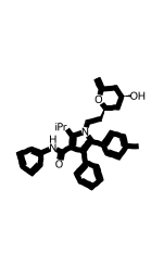 C=C1C[C@H](O)C[C@@H](CCn2c(-c3ccc(C)cc3)c(-c3ccccc3)c(C(=O)Nc3ccccc3)c2C(C)C)O1